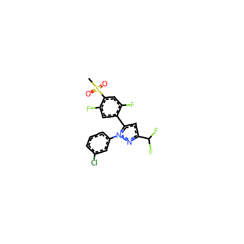 CS(=O)(=O)c1cc(F)c(-c2cc(C(F)F)nn2-c2cccc(Cl)c2)cc1F